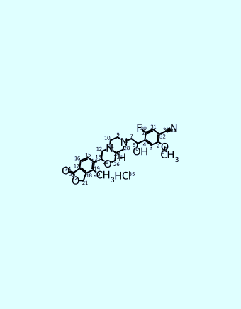 COc1cc(C(O)CN2CCN3C[C@H](c4ccc5c(c4C)COC5=O)OC[C@H]3C2)c(F)cc1C#N.Cl